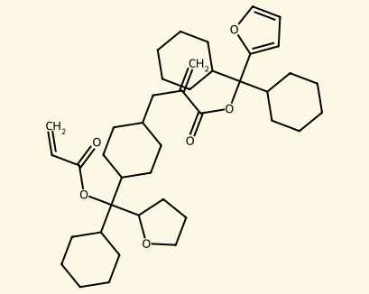 C=CC(=O)OC(C1CCCCC1)(C1CCC(CC(=C)C(=O)OC(c2ccco2)(C2CCCCC2)C2CCCCC2)CC1)C1CCCO1